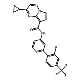 O=C(Nc1cccc(-c2ccc(C(F)(F)F)cc2F)c1)c1cnn2ccc(C3CC3)nc12